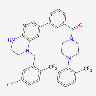 O=C(c1cccc(-c2cnc3c(c2)N(Cc2cc(Cl)ccc2C(F)(F)F)CCN3)c1)N1CCN(c2ccccc2C(F)(F)F)CC1